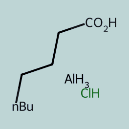 CCCCCCCC(=O)O.Cl.[AlH3]